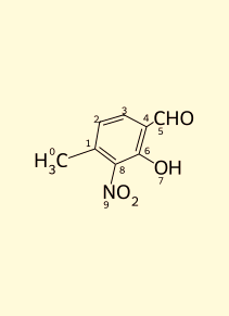 Cc1ccc(C=O)c(O)c1[N+](=O)[O-]